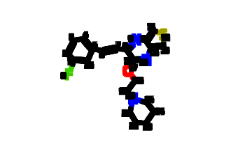 Fc1cccc(C#Cc2nc3cscc3nc2OCCN2CCCCC2)c1